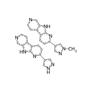 Cn1cc(-c2ccc3c(n2)[nH]c2cnccc23)cn1.c1cc2c(cn1)[nH]c1nc(-c3cn[nH]c3)ccc12